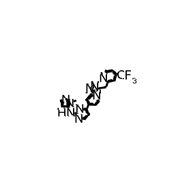 Cn1nccc1Nc1nccc(-c2ccn3c(Cc4cc(C(F)(F)F)ccn4)nnc3c2)n1